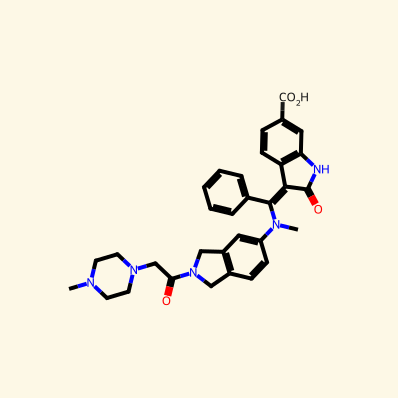 CN1CCN(CC(=O)N2Cc3ccc(N(C)/C(=C4\C(=O)Nc5cc(C(=O)O)ccc54)c4ccccc4)cc3C2)CC1